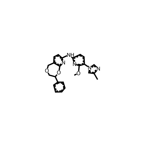 COc1nc(Nc2ccc3c(n2)OC(c2ccccc2)COC3)ccc1-n1cnc(C)c1